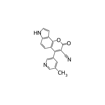 Cc1cncc(-c2c(C#N)c(=O)oc3c2ccc2[nH]ccc23)c1